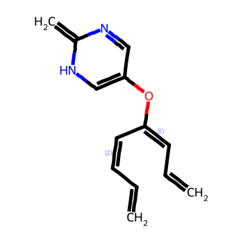 C=C/C=C\C(=C/C=C)OC1=CNC(=C)N=C1